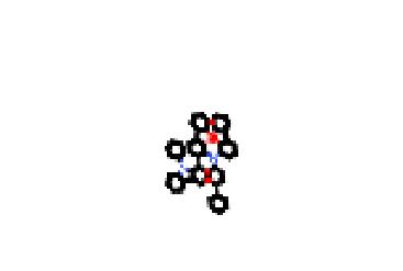 c1ccc(-c2ccc(N(c3cccc4c3oc3ccccc34)c3c(-c4cccc5c6ccccc6n(-c6ccccc6)c45)ccc4c3oc3ccccc34)cc2)cc1